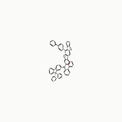 c1ccc(-c2ccc(-c3c4oc5cc(N(c6ccc7c(c6)C(c6ccccc6)(c6ccccc6)c6ccccc6-7)c6ccccc6-c6ccccc6)ccc5c4cc4oc5ccccc5c34)cc2)cc1